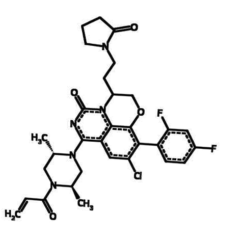 C=CC(=O)N1C[C@H](C)N(c2nc(=O)n3c4c(c(-c5ccc(F)cc5F)c(Cl)cc24)OCC3CCN2CCCC2=O)C[C@H]1C